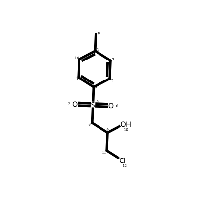 Cc1ccc(S(=O)(=O)CC(O)CCl)cc1